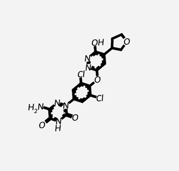 Nc1nn(-c2cc(Cl)c(Oc3cc(C4CCOC4)c(O)nn3)c(Cl)c2)c(=O)[nH]c1=O